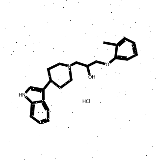 Cc1ccccc1OCC(O)CN1CCC(c2c[nH]c3ccccc23)CC1.Cl